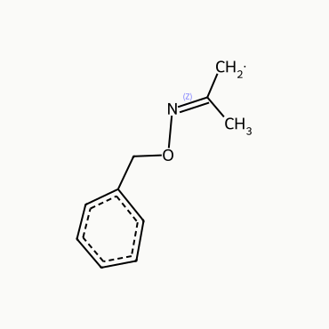 [CH2]/C(C)=N/OCc1ccccc1